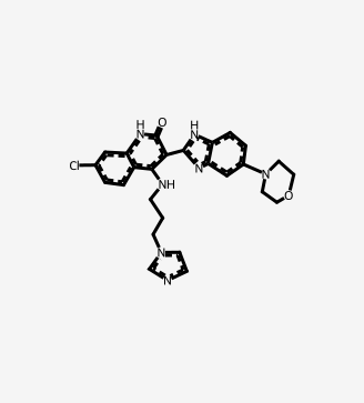 O=c1[nH]c2cc(Cl)ccc2c(NCCCn2ccnc2)c1-c1nc2cc(N3CCOCC3)ccc2[nH]1